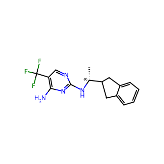 C[C@@H](Nc1ncc(C(F)(F)F)c(N)n1)C1Cc2ccccc2C1